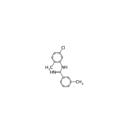 Cc1cccc(C(=N)Nc2cc(Cl)ccc2C)c1